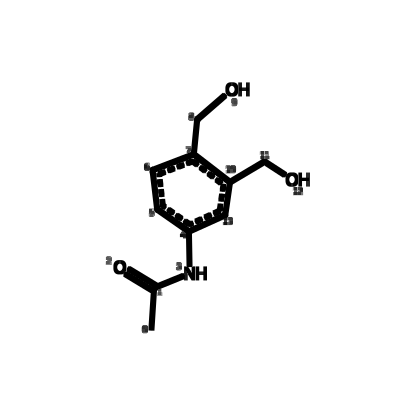 CC(=O)Nc1ccc(CO)c(CO)c1